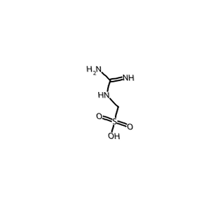 N=C(N)NCS(=O)(=O)O